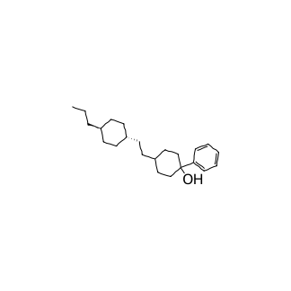 CCC[C@H]1CC[C@H](CCC2CCC(O)(c3ccccc3)CC2)CC1